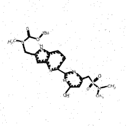 CN(Cc1cc2nc(-c3nc(O)cc(CS(=O)(=O)N(C)C)n3)ccc2[nH]1)C(=O)OC(C)(C)C